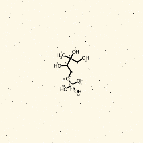 CC(O)(CO)C(O)CO[PH](O)(O)O